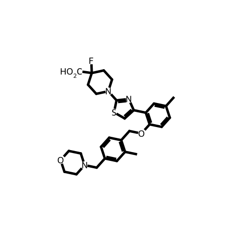 Cc1ccc(OCc2ccc(CN3CCOCC3)cc2C)c(-c2csc(N3CCC(F)(C(=O)O)CC3)n2)c1